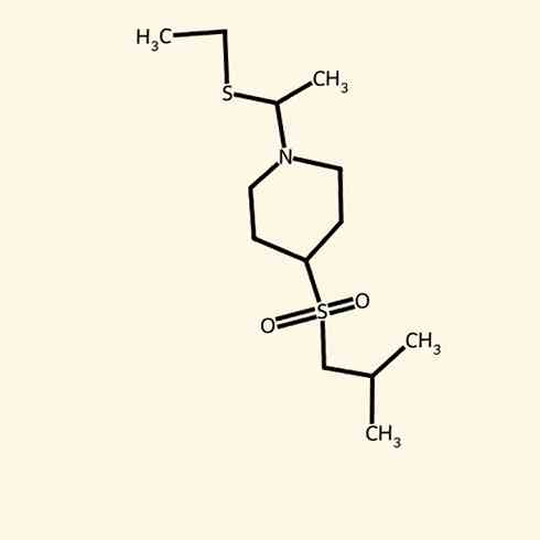 CCSC(C)N1CCC(S(=O)(=O)CC(C)C)CC1